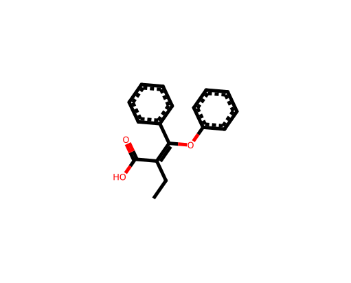 CC/C(C(=O)O)=C(\Oc1ccccc1)c1ccccc1